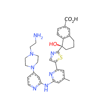 Cc1cc(Nc2cc(N3CCN(CCN)CC3)ccn2)nc(-c2cnc([C@@]3(O)CCCc4cc(C(=O)O)ccc43)s2)c1